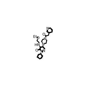 CCOCCNc1c(N2CCN(C(=O)Cc3cccnc3)CC2)cnn(-c2ccccc2)c1=O